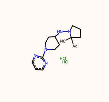 CC(=O)C1(C#N)CCCN1NC1CCN(c2ncccn2)CC1.Cl.Cl